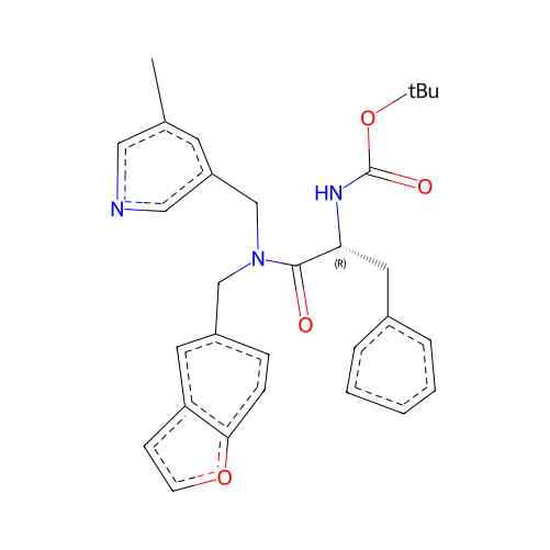 Cc1cncc(CN(Cc2ccc3occc3c2)C(=O)[C@@H](Cc2ccccc2)NC(=O)OC(C)(C)C)c1